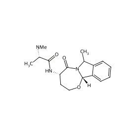 CN[C@@H](C)C(=O)N[C@H]1CCO[C@H]2c3ccccc3C(C)N2C1=O